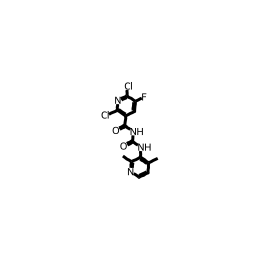 Cc1ccnc(C)c1NC(=O)NC(=O)c1cc(F)c(Cl)nc1Cl